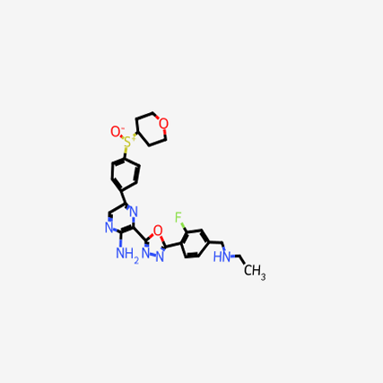 CCNCc1ccc(-c2nnc(-c3nc(-c4ccc([S+]([O-])C5CCOCC5)cc4)cnc3N)o2)c(F)c1